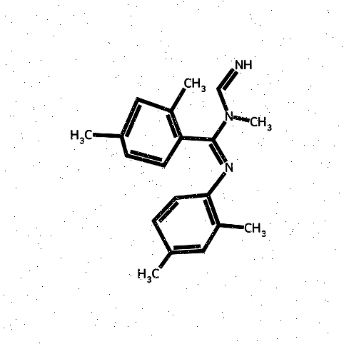 Cc1ccc(/N=C(\c2ccc(C)cc2C)N(C)C=N)c(C)c1